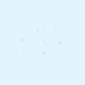 C/C(=N/OC(C)C(C)C)C(C)C